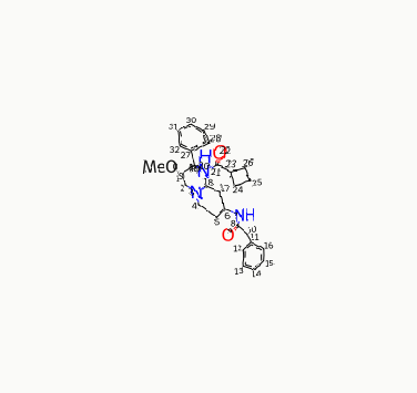 CO[C@@H](CN1CCC(NC(=O)Cc2ccccc2)CC1)[C@H](NC(=O)C1CCC1)c1ccccc1